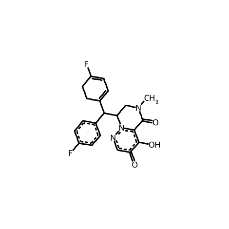 CN1CC(C(C2=CC=C(F)CC2)c2ccc(F)cc2)n2ncc(=O)c(O)c2C1=O